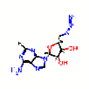 [N-]=[N+]=NC[C@H]1O[C@@H](n2cnc3c(N)nc(F)nc32)[C@H](O)[C@@H]1O